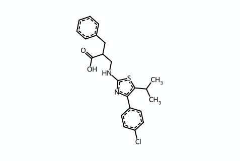 CC(C)c1sc(NCC(Cc2ccccc2)C(=O)O)nc1-c1ccc(Cl)cc1